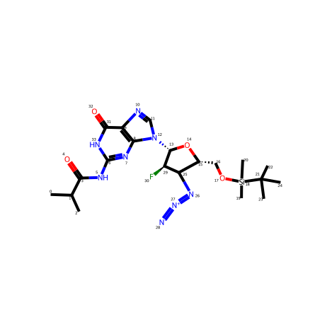 CC(C)C(=O)Nc1nc2c(ncn2[C@@H]2O[C@H](CO[Si](C)(C)C(C)(C)C)C(N=[N+]=[N-])[C@H]2F)c(=O)[nH]1